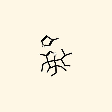 CCC(C(C)C)C1(C(C)(CC)CC)OC=C(C)C1(CC)CC.Cc1ccoc1